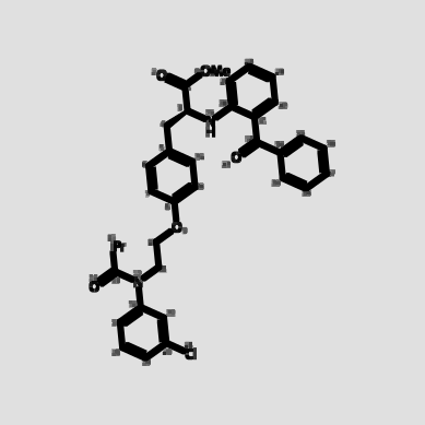 COC(=O)[C@H](Cc1ccc(OCCN(C(=O)C(C)C)c2cccc(Cl)c2)cc1)Nc1ccccc1C(=O)c1ccccc1